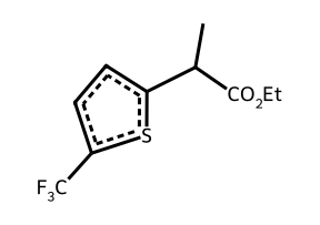 CCOC(=O)C(C)c1ccc(C(F)(F)F)s1